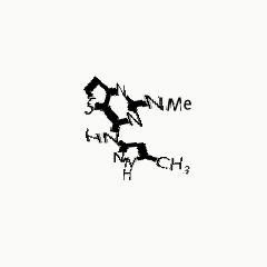 CNc1nc(Nc2cc(C)[nH]n2)c2sccc2n1